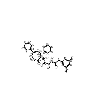 C[C@H](NC(=O)Cc1cc(F)cc(F)c1)C(=O)N[C@@H]1C(=O)NCC(c2ccccc2)=C[C@@H]1c1ccccc1